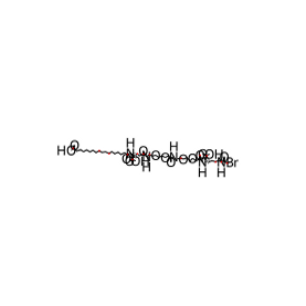 O=C(O)CCCCCCCCCCCCCCCCC(=O)N[C@@H](CCC(=O)NCCOCCOCC(=O)NCCOCCOCC(=O)N[C@@H](CCCCNC(=O)CBr)C(=O)O)C(=O)O